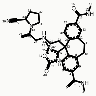 C=C(NC)c1ccc2c(c1)CCc1cc(C(=O)NC)ccc1C2(C[C@@H](C)NCC(=C)N1CCCC1C#N)c1nc(=O)on1C